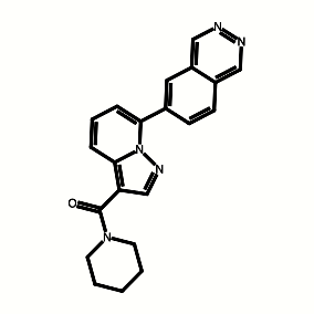 O=C(c1cnn2c(-c3ccc4cnncc4c3)cccc12)N1CCCCC1